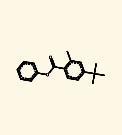 Cc1cc(C(C)(C)C)ccc1C(=O)Oc1ccccc1